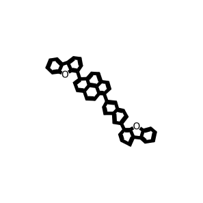 c1ccc2c(c1)oc1c(-c3ccc4cc(-c5ccc6ccc7c(-c8cccc9c8oc8ccccc89)ccc8ccc5c6c87)ccc4c3)cccc12